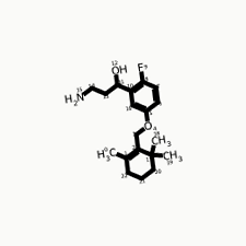 CC1=C(COc2ccc(F)c(C(O)CCN)c2)C(C)(C)CCC1